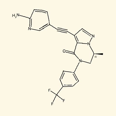 C[C@H]1CN(c2ccc(C(F)(F)F)cc2)C(=O)c2c(C#Cc3ccc(N)nc3)cnn21